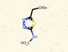 COCc1nnc(NC(=O)O)s1